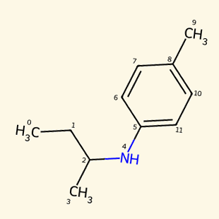 CCC(C)Nc1ccc(C)cc1